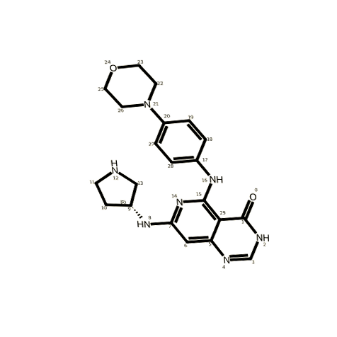 O=c1[nH]cnc2cc(N[C@@H]3CCNC3)nc(Nc3ccc(N4CCOCC4)cc3)c12